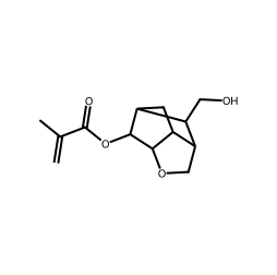 C=C(C)C(=O)OC1C2CC3C(COC31)C2CO